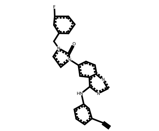 C#Cc1cccc(Nc2ncnc3ccc(-n4ccn(Cc5cccc(F)c5)c4=O)cc23)c1